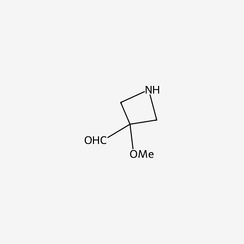 COC1(C=O)CNC1